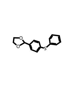 c1ccc(Sc2ccc(C3OCCO3)cc2)cc1